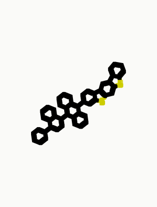 c1ccc(-c2ccc(-c3c4ccccc4c(-c4ccc5c(c4)sc4cc6sc7ccccc7c6cc45)c4ccccc34)c3ccccc23)cc1